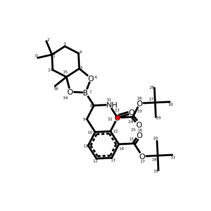 CC1(C)CCC2OB(C(Cc3cccc(C(=O)OC(C)(C)C)c3OC(=O)OC(C)(C)C)NC=O)OC2(C)C1